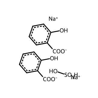 O=C([O-])c1ccccc1O.O=C([O-])c1ccccc1O.O=S(=O)(O)O.[Na+].[Na+]